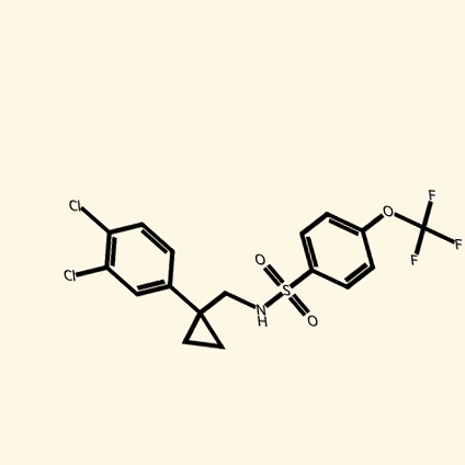 O=S(=O)(NCC1(c2ccc(Cl)c(Cl)c2)CC1)c1ccc(OC(F)(F)F)cc1